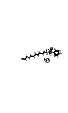 CCCCCCCCCCCCOS(=O)(=O)c1ccccc1.[Na].[Zn]